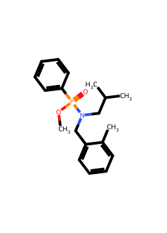 COP(=O)(c1ccccc1)N(Cc1ccccc1C)CC(C)C